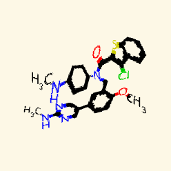 CNc1ncc(-c2ccc(OC)c(CN(C(=O)c3sc4ccccc4c3Cl)[C@H]3CC[C@H](NC)CC3)c2)cn1